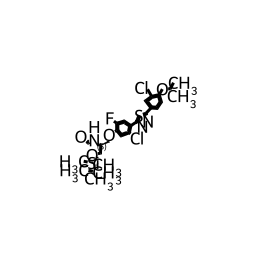 CC(C)Oc1ccc(-c2nnc(-c3cc(F)c(OC[C@@H](CO[Si](C)(C)C(C)(C)C)NC=O)cc3Cl)s2)cc1Cl